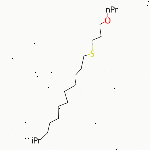 CCCOCCCSCCCCCCCCCCC(C)C